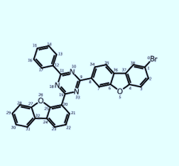 Brc1ccc2oc3cc(-c4nc(-c5ccccc5)nc(-c5cccc6c5oc5ccccc56)n4)ccc3c2c1